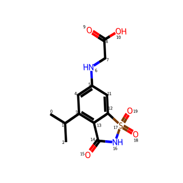 CC(C)c1cc(NCC(=O)O)cc2c1C(=O)NS2(=O)=O